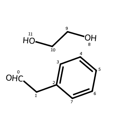 O=CCc1ccccc1.OCCO